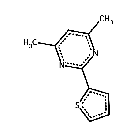 Cc1cc(C)nc(-c2cccs2)n1